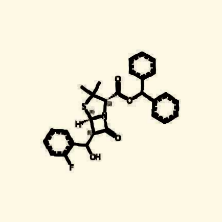 CC1(C)S[C@@H]2[C@H](C(O)c3ccccc3F)C(=O)N2[C@H]1C(=O)OC(c1ccccc1)c1ccccc1